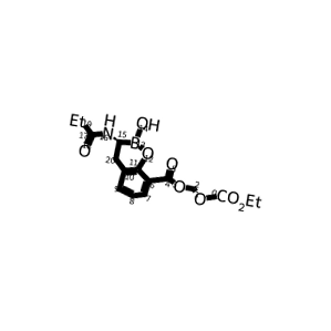 CCOC(=O)OCOC(=O)c1cccc2c1OB(O)[C@@H](NC(=O)CC)C2